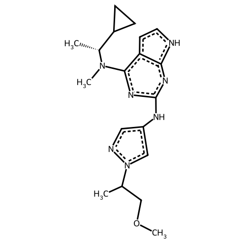 COCC(C)n1cc(Nc2nc(N(C)[C@H](C)C3CC3)c3cc[nH]c3n2)cn1